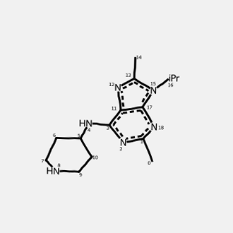 Cc1nc(NC2CCNCC2)c2nc(C)n(C(C)C)c2n1